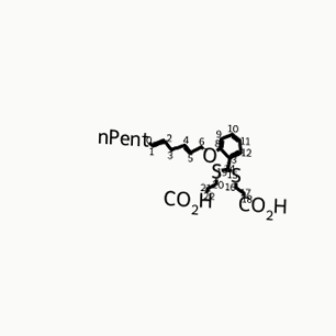 CCCCCC=CCC=CCOc1ccccc1C(SCCC(=O)O)SCCC(=O)O